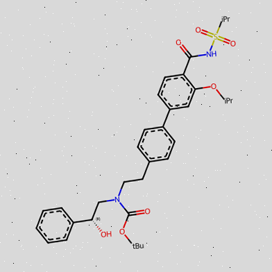 CC(C)Oc1cc(-c2ccc(CCN(C[C@H](O)c3ccccc3)C(=O)OC(C)(C)C)cc2)ccc1C(=O)NS(=O)(=O)C(C)C